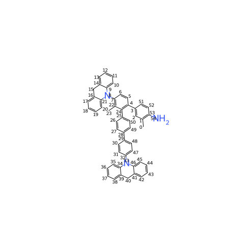 Cc1cc(-c2ccc(N3c4ccccc4Cc4ccccc43)c(C)c2-c2ccc(-c3ccc(N4c5ccccc5Cc5ccccc54)cc3)cc2)ccc1N